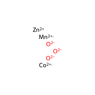 [Co+2].[Mn+2].[O-2].[O-2].[O-2].[Zn+2]